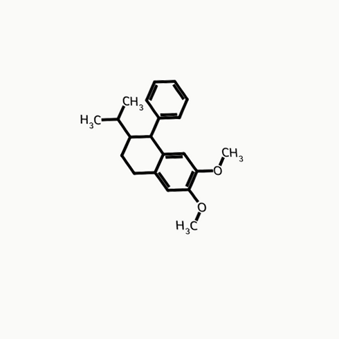 COc1cc2c(cc1OC)C(c1ccccc1)C(C(C)C)CC2